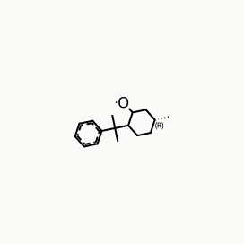 C[C@@H]1CCC(C(C)(C)c2ccccc2)C([O])C1